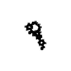 O=C[C@H]1CC[C@H](n2cc3cc4c(cc3n2)OCCCCOc2cccc(n2)C(=O)N4)CC1